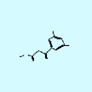 COC(=O)CC(=O)c1cc(Cl)cc(Cl)c1